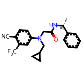 C[C@@H](NC(=O)CN(CC1CC1)c1ccc(C#N)c(C(F)(F)F)c1)c1ccccc1